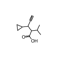 C#CC(C1CC1)C(C(=O)O)C(C)C